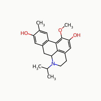 COc1c(O)cc2c3c1-c1cc(C)c(O)cc1CC3N(C(C)C)CC2